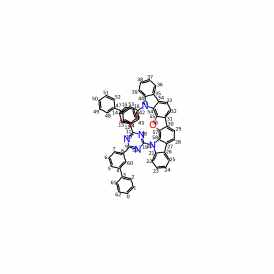 c1ccc(-c2cccc(-c3nc(-c4ccccc4)nc(-n4c5ccccc5c5ccc6c7ccc8c9ccccc9n(-c9cccc(-c%10ccccc%10)c9)c8c7oc6c54)n3)c2)cc1